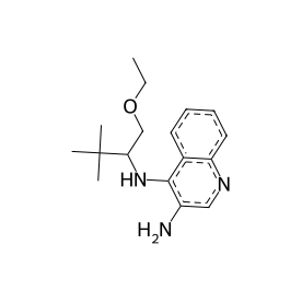 CCOCC(Nc1c(N)cnc2ccccc12)C(C)(C)C